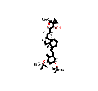 C=C1/C(=C\C=C2/CCC[C@]3(C)[C@@H]([C@H](C)/C=C/[C@H](O)C4(C(=O)OC)CC4)CC[C@@H]23)C[C@@H](O[Si](C)(C)C(C)(C)C)C[C@@H]1O[Si](C)(C)C(C)(C)C